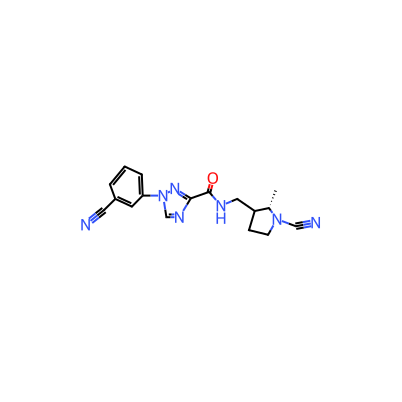 C[C@H]1C(CNC(=O)c2ncn(-c3cccc(C#N)c3)n2)CCN1C#N